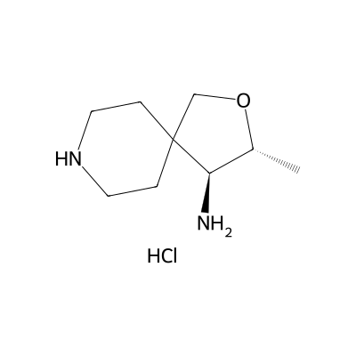 C[C@H]1OCC2(CCNCC2)[C@@H]1N.Cl